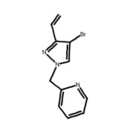 C=Cc1nn(Cc2ccccn2)cc1Br